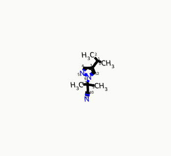 CC(C)c1cnn(C(C)(C)C#N)c1